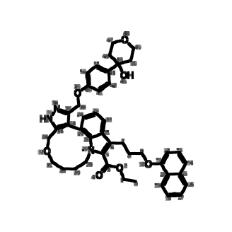 CCOC(=O)c1c(CCCOc2cccc3ccccc23)c2cccc3c2n1CCCCOCc1[nH]nc(COc2ccc(C4(O)CCOCC4)cc2)c1-3